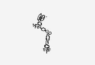 N#Cc1cc([N+](=O)[O-])ccc1NC1CCC(OCC(=O)N2CCN(c3ccc(C(F)(F)F)cc3)CC2)CC1